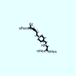 CCCCCCC(CCCCCC)CNCC1CCN(CCC#CC(CC)CCCCC)CC1